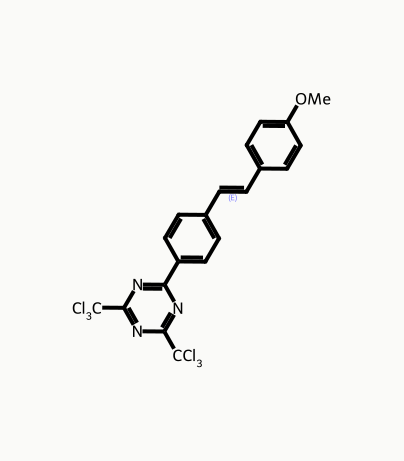 COc1ccc(/C=C/c2ccc(-c3nc(C(Cl)(Cl)Cl)nc(C(Cl)(Cl)Cl)n3)cc2)cc1